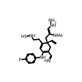 C=CC1(C/C(=C/NN)NC)CC(C=N)=C(Nc2ccc(F)cc2)C=C1CCNS